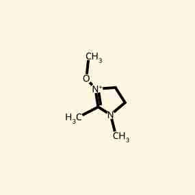 CO[N+]1=C(C)N(C)CC1